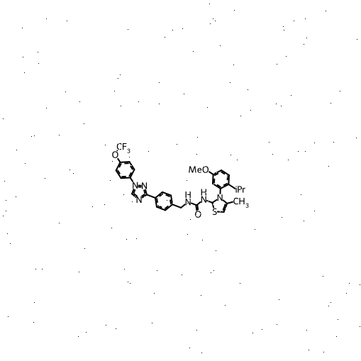 COc1ccc(C(C)C)c(N2C(C)=CSC2NC(=O)NCc2ccc(-c3ncn(-c4ccc(OC(F)(F)F)cc4)n3)cc2)c1